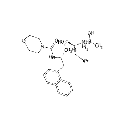 CBO.CC(C)C[C@H](N)C(=O)O.O=C(O)[C@H](Cc1cccc2ccccc12)NC(=O)N1CCOCC1